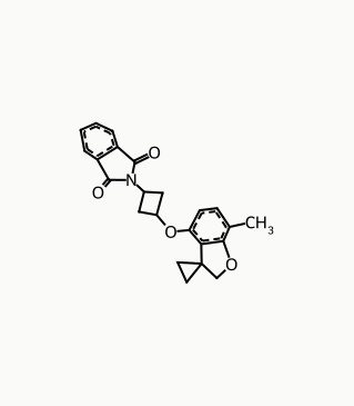 Cc1ccc(OC2CC(N3C(=O)c4ccccc4C3=O)C2)c2c1OCC21CC1